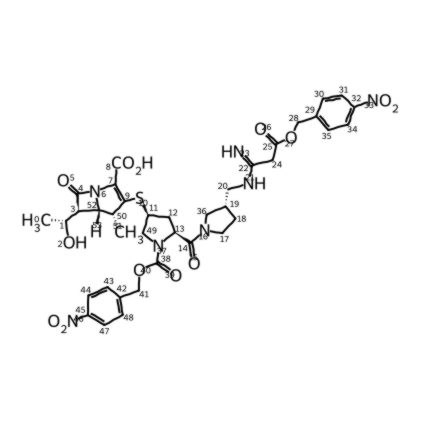 C[C@@H](O)[C@H]1C(=O)N2C(C(=O)O)=C(S[C@H]3C[C@@H](C(=O)N4CC[C@@H](CNC(=N)CC(=O)OCc5ccc([N+](=O)[O-])cc5)C4)N(C(=O)OCc4ccc([N+](=O)[O-])cc4)C3)[C@H](C)[C@H]12